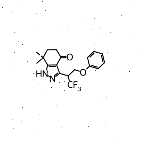 CC1(C)CCC(=O)c2c(C(COc3ccccc3)C(F)(F)F)n[nH]c21